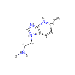 CC(C)c1ccc2c(ncn2CCN(C)C)n1